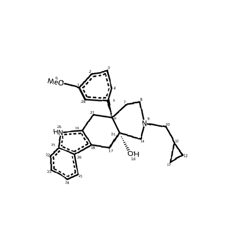 COc1cccc([C@@]23CCN(CC4CC4)C[C@@]2(O)Cc2c([nH]c4ccccc24)C3)c1